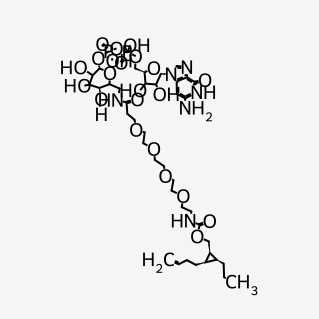 C=CCC[C@@H]1[C@H](CCC)[C@@H]1COC(=O)NCCOCCOCCOCCOCCC(=O)NCC1O[C@H](OP(=O)(O)OP(=O)(O)OC[C@H]2O[C@@H](n3cnc4c(=O)[nH]c(N)cc43)C(O)C2O)C(O)C(O)[C@@H]1O